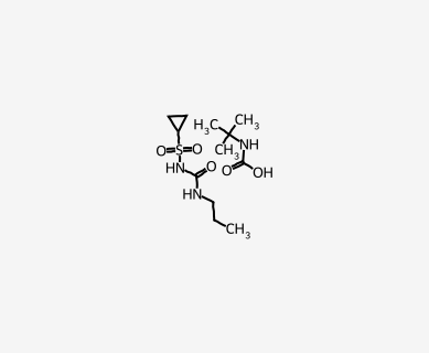 CC(C)(C)NC(=O)O.CCCNC(=O)NS(=O)(=O)C1CC1